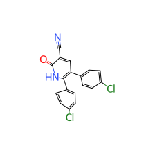 N#Cc1cc(-c2ccc(Cl)cc2)c(-c2ccc(Cl)cc2)[nH]c1=O